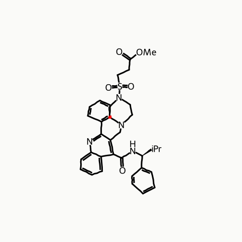 COC(=O)CCS(=O)(=O)N1CCN(Cc2c(-c3ccccc3)nc3ccccc3c2C(=O)N[C@H](c2ccccc2)C(C)C)CC1